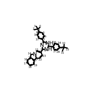 CC(C)(C)c1ccc(C2=NC(C3=CN4Cc5ccccc5C4C=C3)NC(c3ccc(C(C)(C)C)cc3)N2)cc1